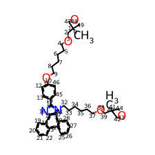 CC1(COCCCCCCOc2ccc(-c3nc4c5ccccc5c5ccccc5c4n3CCCCCCOCC3(C)COC3)cc2)COC1